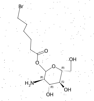 N[C@H]1C(OC(=O)CCCCCBr)O[C@H](CO)[C@@H](O)[C@@H]1O